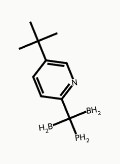 BC(B)(P)c1ccc(C(C)(C)C)cn1